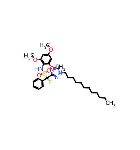 CCCCCCCCCCCCn1nnc(C(F)(c2ccccc2)S(=O)(=O)Nc2c(OC)cc(OC)cc2OC)n1